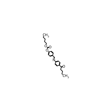 CCCCCOC(=O)Oc1ccc(C=Nc2ccc(C(=O)CCCC)cc2)cc1